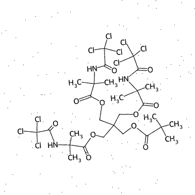 CC(C)(C)C(=O)OCC(COC(=O)C(C)(C)NC(=O)C(Cl)(Cl)Cl)(COC(=O)C(C)(C)NC(=O)C(Cl)(Cl)Cl)COC(=O)C(C)(C)NC(=O)C(Cl)(Cl)Cl